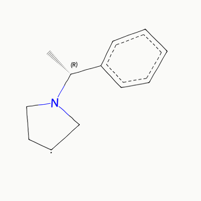 C[C@H](c1ccccc1)N1C[CH]CC1